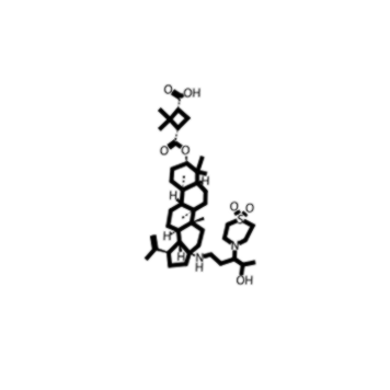 C=C(C)[C@@H]1CC[C@]2(NCCC(C(C)O)N3CCS(=O)(=O)CC3)CC[C@]3(C)[C@H](CC[C@@H]4[C@@]5(C)CC[C@H](OC(=O)[C@H]6C[C@@H](C(=O)O)C6(C)C)C(C)(C)[C@@H]5CC[C@]43C)[C@@H]12